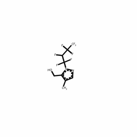 Cc1cnn(C(F)(F)C(F)C(F)(F)C(F)(F)F)c1CO